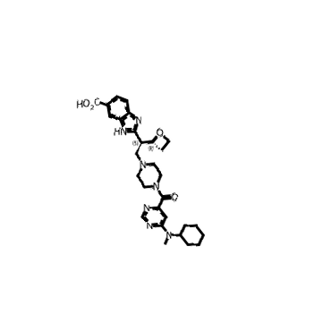 CN(c1cc(C(=O)N2CCN(C[C@@H](c3nc4ccc(C(=O)O)cc4[nH]3)[C@H]3CCO3)CC2)ncn1)C1CCCCC1